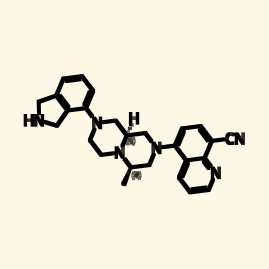 C[C@@H]1CN(c2ccc(C#N)c3ncccc23)C[C@@H]2CN(c3cccc4c3CNC4)CCN21